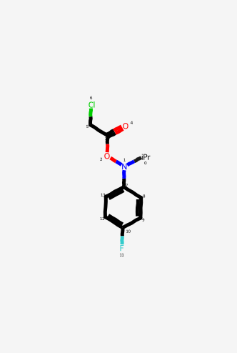 CC(C)N(OC(=O)CCl)c1ccc(F)cc1